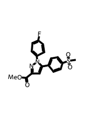 COC(=O)c1cc(-c2ccc(S(C)(=O)=O)cc2)n(-c2ccc(F)cc2)n1